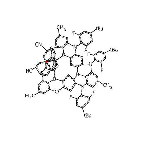 [C-]#[N+]c1ccc2oc3c(c2c1)Sc1cc(C)cc2c1B3c1cc3c(cc1O2)N(c1c(F)cc(C(C)(C)C)cc1F)c1cc(C)cc2c1B3c1cc3c(cc1N2c1c(F)cc(C(C)(C)C)cc1F)N(c1c(F)cc(C(C)(C)C)cc1F)c1cc(C)cc2c1B3c1oc3ccc(C#N)cc3c1S2